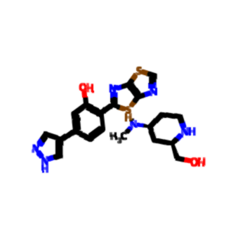 CN([C@H]1CCN[C@@H](CO)C1)[SH]1C(c2ccc(-c3cn[nH]c3)cc2O)=Nc2scnc21